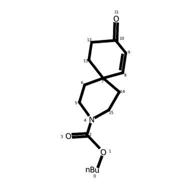 CCCCOC(=O)N1CCC2(C=CC(=O)CC2)CC1